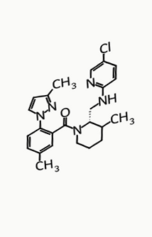 Cc1ccc(-n2ccc(C)n2)c(C(=O)N2CCCC(C)[C@H]2CNc2ccc(Cl)cn2)c1